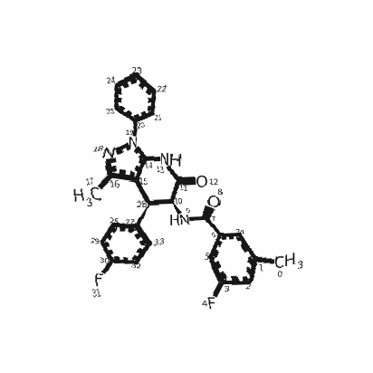 Cc1cc(F)cc(C(=O)N[C@@H]2C(=O)Nc3c(c(C)nn3-c3ccccc3)[C@@H]2c2ccc(F)cc2)c1